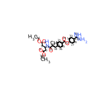 CCOC(=O)CC(CC(=O)OCC)NC(=O)/C(C)=C/c1ccc(C(=O)Oc2ccc(C(=N)N)cc2)cc1